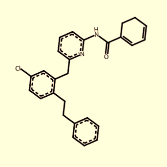 O=C(Nc1cccc(Cc2cc(Cl)ccc2CCc2ccccc2)n1)C1=CC=CCC1